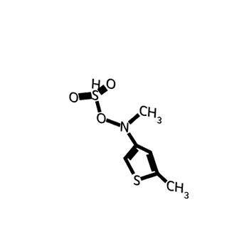 Cc1cc(N(C)O[SH](=O)=O)cs1